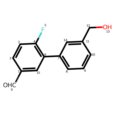 O=Cc1ccc(F)c(-c2cccc(CO)c2)c1